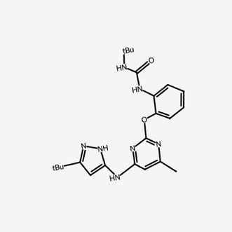 Cc1cc(Nc2cc(C(C)(C)C)n[nH]2)nc(Oc2ccccc2NC(=O)NC(C)(C)C)n1